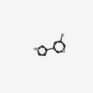 Brc1cncc(-c2cc[nH]c2)c1